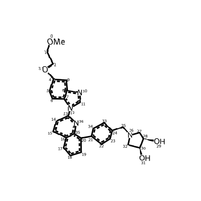 COCCOc1ccc2c(c1)ncn2-c1ccc2cccc(-c3ccc(CN4C[C@@H](O)[C@@H](O)C4)cc3)c2n1